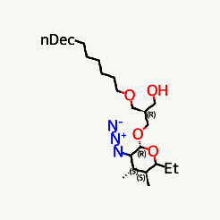 CCCCCCCCCCCCCCCCOC[C@@H](CO)CO[C@@H]1OC(CC)[C@@H](C)[C@H](C)C1N=[N+]=[N-]